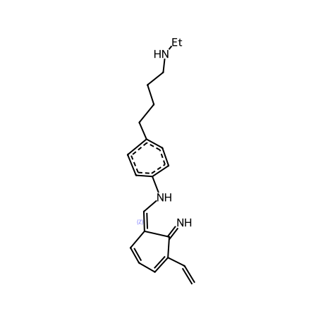 C=CC1=CC=C/C(=C/Nc2ccc(CCCCNCC)cc2)C1=N